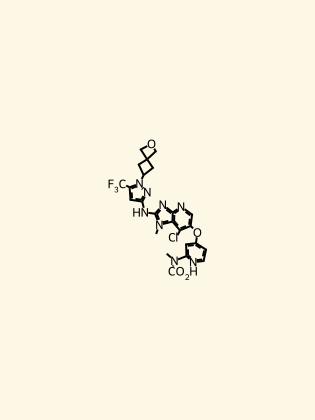 CN(C(=O)O)c1cc(Oc2cnc3nc(Nc4cc(C(F)(F)F)n(C5CC6(COC6)C5)n4)n(C)c3c2Cl)ccn1